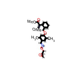 CO/C=C(/C(=O)OC)c1ccccc1COc1cc(C)c(/C=N/OCC2CO2)cc1C